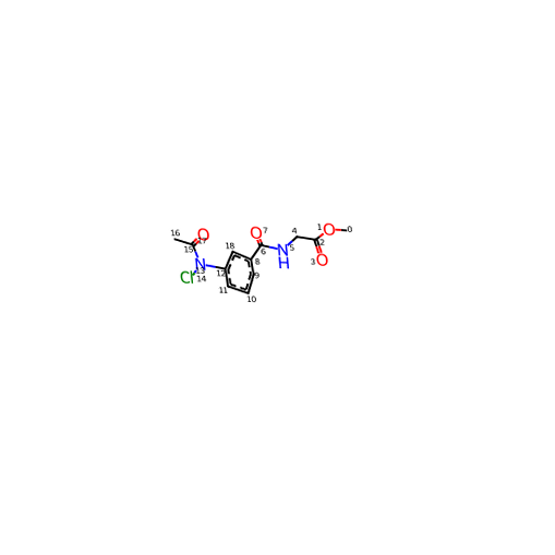 COC(=O)CNC(=O)c1cccc(N(Cl)C(C)=O)c1